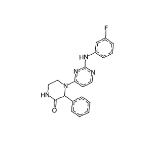 O=C1NCCN(c2ccnc(Nc3cccc(F)c3)n2)C1c1ccccc1